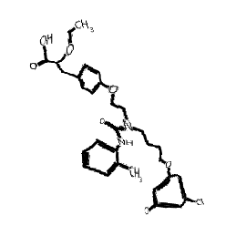 CCOC(Cc1ccc(OCCN(CCCCOc2cc(Cl)cc(Cl)c2)C(=O)Nc2ccccc2C)cc1)C(=O)O